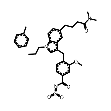 CCCn1cc(Cc2ccc(C(=O)N=S(=O)=O)cc2OC)c2cc(CCCC(=O)N(C)C)ccc21.Cc1ccccc1